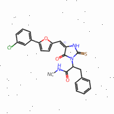 N#CNC(=O)C(Cc1ccccc1)N1C(=O)/C(=C\c2ccc(-c3cccc(Cl)c3)o2)NC1=S